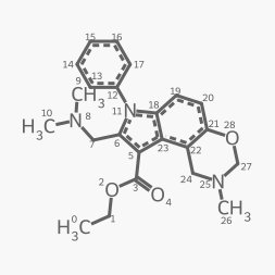 CCOC(=O)c1c(CN(C)C)n(-c2ccccc2)c2ccc3c(c12)CN(C)CO3